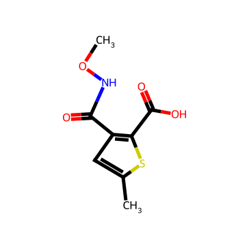 CONC(=O)c1cc(C)sc1C(=O)O